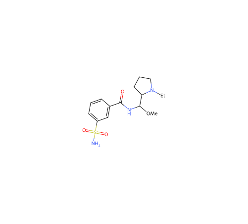 CCN1CCCC1C(NC(=O)c1cccc(S(N)(=O)=O)c1)OC